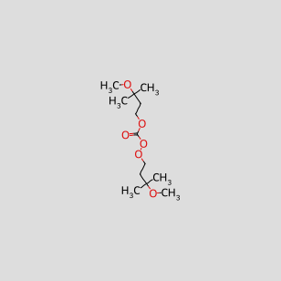 COC(C)(C)CCOOC(=O)OCCC(C)(C)OC